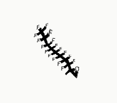 CC1(C(F)(F)C(F)(F)C(F)(F)C(F)(F)C(F)(F)C(F)(F)C(F)(F)C(F)(F)F)CO1